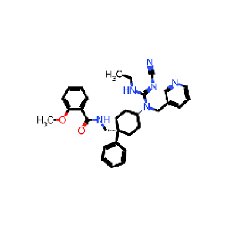 CCNC(=NC#N)N(Cc1cccnc1)[C@H]1CC[C@](CNC(=O)c2ccccc2OC)(c2ccccc2)CC1